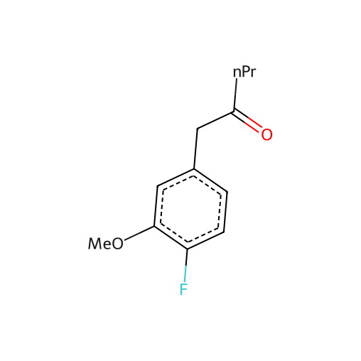 CCCC(=O)Cc1ccc(F)c(OC)c1